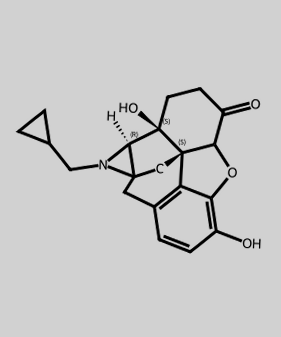 O=C1CC[C@@]2(O)[C@@H]3N(CC4CC4)C34Cc3ccc(O)c5c3[C@@]2(C4)C1O5